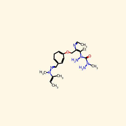 C/C=N\C(COC1=CCC=C(/C=N/N(C)/C(C)=C/C)C=C1)=C(/CC)N(N)C(=O)N(C)N